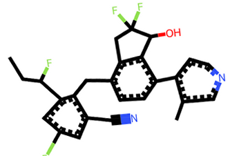 CCC(F)c1cc(F)cc(C#N)c1Cc1ccc(-c2ccncc2C)c2c1CC(F)(F)C2O